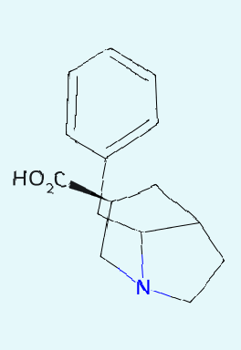 O=C(O)[C@H]1CC2CCN(C1)C2Cc1ccccc1